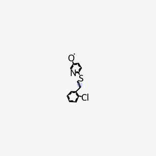 COc1ccc(S/C=C/c2ccccc2Cl)nc1